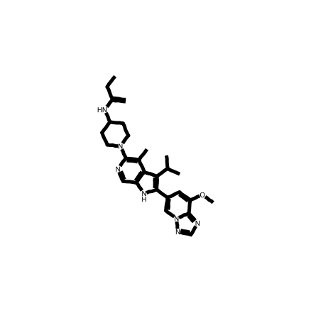 C=C(CC)NC1CCN(c2ncc3[nH]c(-c4cc(OC)c5ncnn5c4)c(C(C)C)c3c2C)CC1